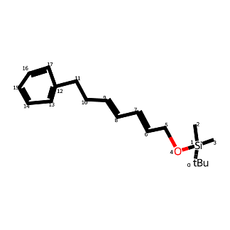 CC(C)(C)[Si](C)(C)OCC=CC=CCCc1ccccc1